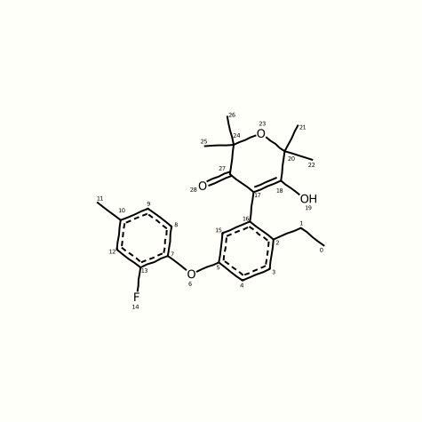 CCc1ccc(Oc2ccc(C)cc2F)cc1C1=C(O)C(C)(C)OC(C)(C)C1=O